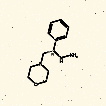 NN[C@H](CN1CCOCC1)c1ccccc1